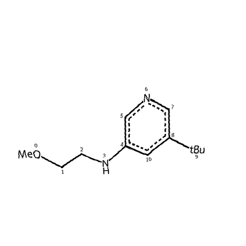 COCCNc1cncc(C(C)(C)C)c1